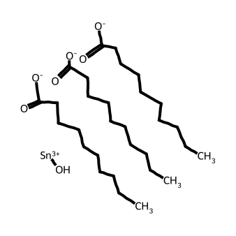 CCCCCCCCCC(=O)[O-].CCCCCCCCCC(=O)[O-].CCCCCCCCCC(=O)[O-].[OH][Sn+3]